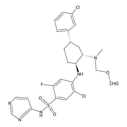 CN(COC=O)[C@H]1C[C@@H](c2cccc(Cl)c2)CC[C@@H]1Nc1cc(F)c(S(=O)(=O)Nc2ccncn2)cc1Cl